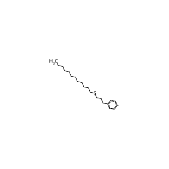 CCCCCCCCCCCCSCCCc1cc[c]cc1